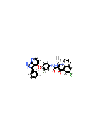 Cc1c(C(=O)Nc2ccc(Oc3ccnc4[nH]nc(-c5ccccc5)c34)c(F)c2)c(=O)c2cc(Cl)ccc2n1C